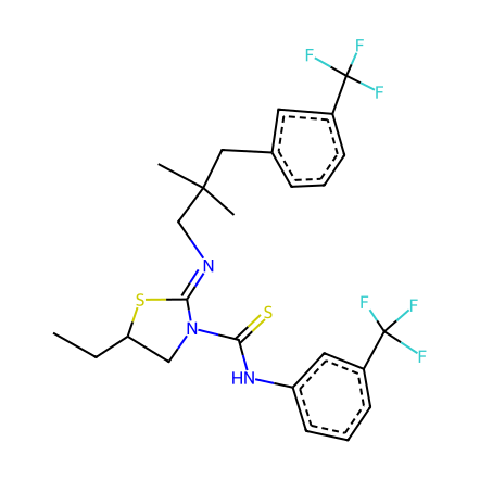 CCC1CN(C(=S)Nc2cccc(C(F)(F)F)c2)C(=NCC(C)(C)Cc2cccc(C(F)(F)F)c2)S1